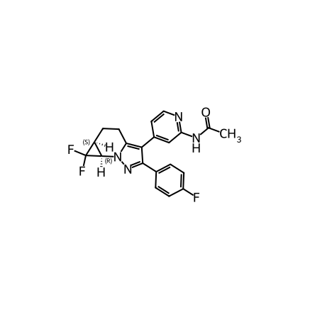 CC(=O)Nc1cc(-c2c(-c3ccc(F)cc3)nn3c2CC[C@H]2[C@@H]3C2(F)F)ccn1